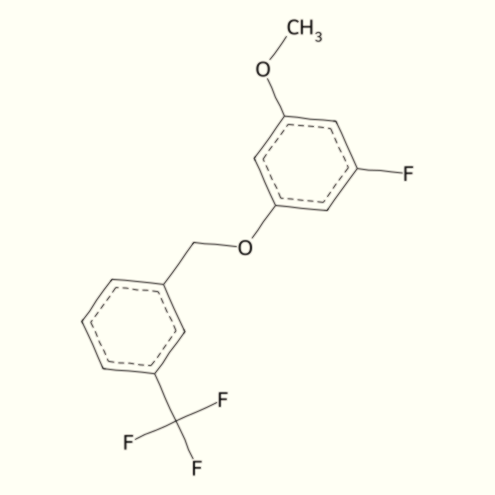 COc1cc(F)cc(OCc2cccc(C(F)(F)F)c2)c1